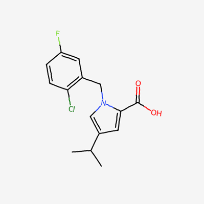 CC(C)c1cc(C(=O)O)n(Cc2cc(F)ccc2Cl)c1